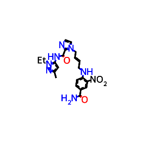 CCn1nc(C)cc1NC(=O)c1nccn1C/C=C/CNc1ccc(C(N)=O)cc1[N+](=O)[O-]